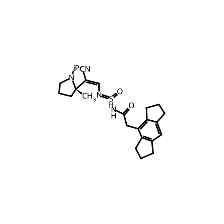 CC(C)N1CCC[C@@]1(C)/C(C#N)=C\N=[SH](=O)\NC(=O)Cc1c2c(cc3c1CCC3)CCC2